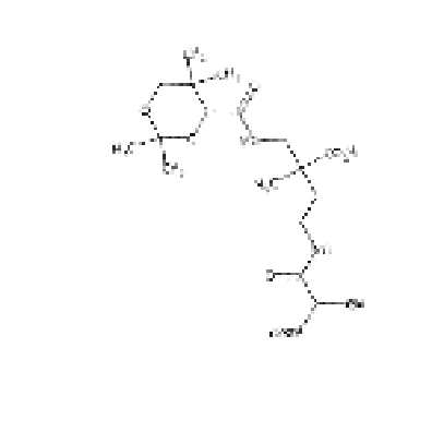 CCCCCC(C(=O)NCCC(C)(CNC(=O)C1OC(C)(C)OCC1(C)C)C(=O)O)C(C)(C)C